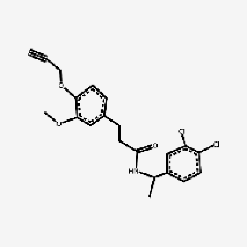 C#CCOc1ccc(CCC(=O)NC(C)c2ccc(Cl)c(Cl)c2)cc1OC